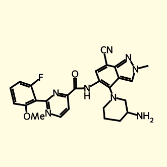 COc1cccc(F)c1-c1nccc(C(=O)Nc2cc(C#N)c3nn(C)cc3c2N2CCCC(N)C2)n1